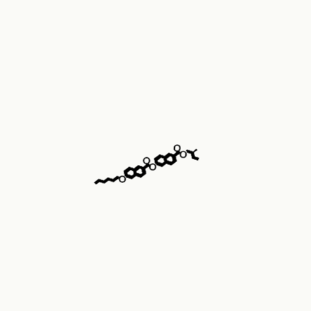 CCCCCCOc1ccc2cc(C(=O)Oc3ccc4cc(C(=O)OC[C@@H](C)CC)ccc4c3)ccc2c1